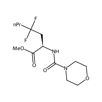 CCCC(F)(F)C[C@@H](NC(=O)N1CCOCC1)C(=O)OC